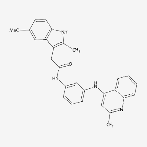 COc1ccc2[nH]c(C)c(CC(=O)Nc3cccc(Nc4cc(C(F)(F)F)nc5ccccc45)c3)c2c1